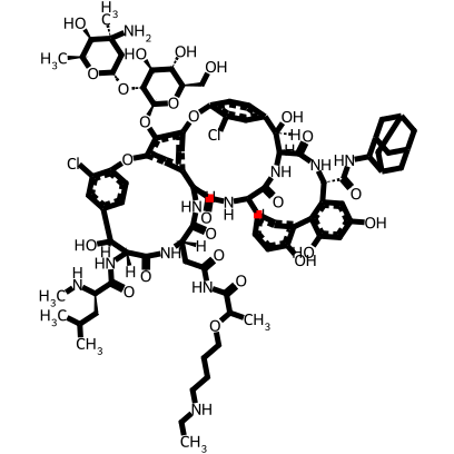 CCNCCCCOC(C)C(=O)NC(=O)C[C@@H]1NC(=O)[C@H](NC(=O)[C@@H](CC(C)C)NC)[C@H](O)c2ccc(c(Cl)c2)Oc2cc3cc(c2O[C@@H]2O[C@H](CO)[C@@H](O)[C@H](O)[C@H]2O[C@H]2C[C@](C)(N)[C@H](O)[C@H](C)O2)Oc2ccc(cc2Cl)[C@@H](O)[C@@H]2NC(=O)[C@H](NC(=O)[C@@H]3NC1=O)c1ccc(O)c(c1)-c1c(O)cc(O)cc1[C@@H](C(=O)NC1C3CC4CC(C3)CC1C4)NC2=O